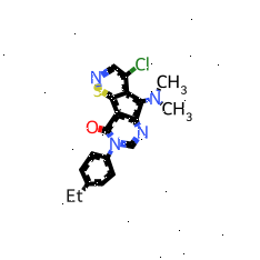 CCc1ccc(-n2cnc3c(N(C)C)c4c(Cl)cnsc-4c3c2=O)cc1